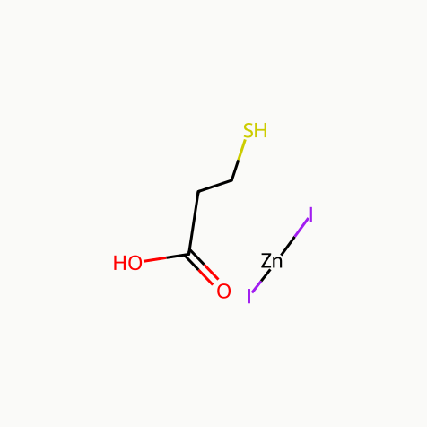 O=C(O)CCS.[I][Zn][I]